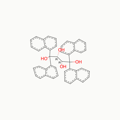 O[C@H]([C@@H](O)C(O)(c1cccc2ccccc12)c1cccc2ccccc12)C(O)(c1cccc2ccccc12)c1cccc2ccccc12